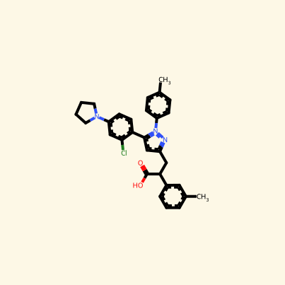 Cc1ccc(-n2nc(CC(C(=O)O)c3cccc(C)c3)cc2-c2ccc(N3CCCC3)cc2Cl)cc1